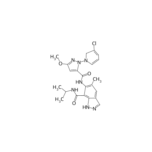 COc1cc(C(=O)Nc2c(C)cc3cn[nH]c3c2C(=O)NC(C)C)n(N2C=CC=C(Cl)C2)n1